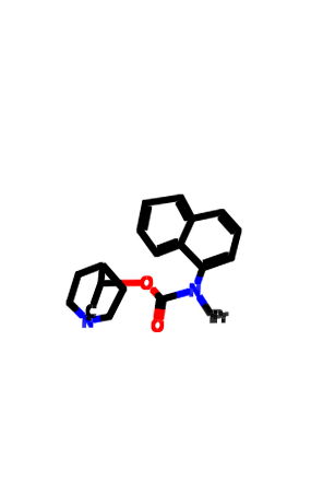 CC(C)N(C(=O)OC1CN2CCC1CC2)c1cccc2ccccc12